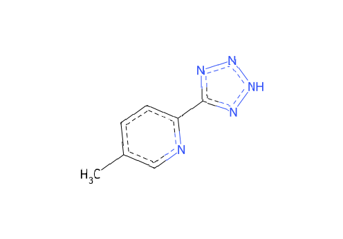 Cc1ccc(-c2nn[nH]n2)nc1